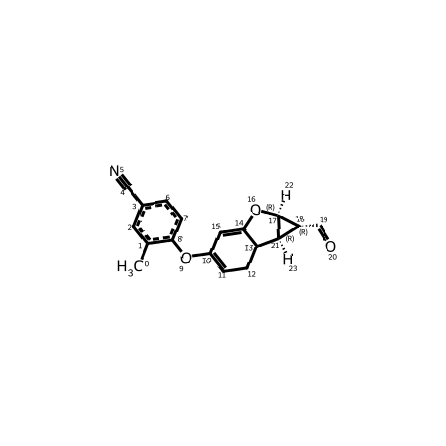 Cc1cc(C#N)ccc1OC1=CCC2C(=C1)O[C@H]1[C@H](C=O)[C@@H]21